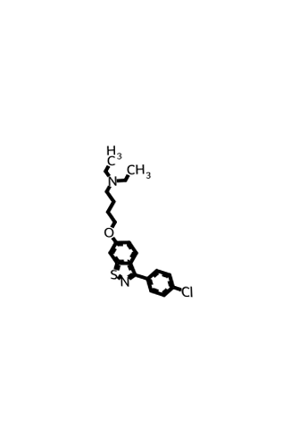 CCN(CC)CCCCOc1ccc2c(-c3ccc(Cl)cc3)nsc2c1